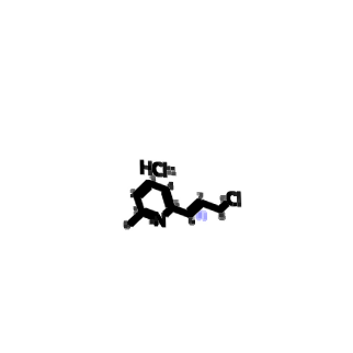 Cc1cccc(/C=C/CCl)n1.Cl